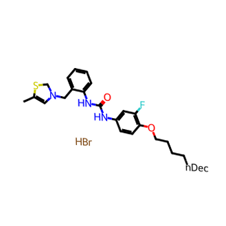 Br.CCCCCCCCCCCCCCOc1ccc(NC(=O)Nc2ccccc2CN2C=C(C)SC2)cc1F